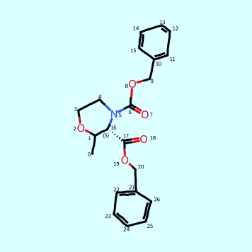 CC1OCCN(C(=O)OCc2ccccc2)[C@@H]1C(=O)OCc1ccccc1